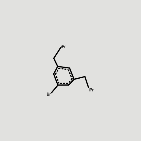 CC(C)Cc1cc(Br)cc(CC(C)C)c1